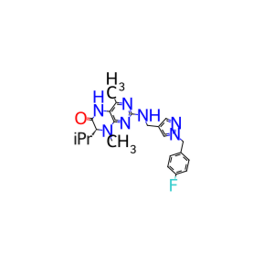 Cc1nc(NCc2cnn(Cc3ccc(F)cc3)c2)nc2c1NC(=O)[C@H](C(C)C)N2C